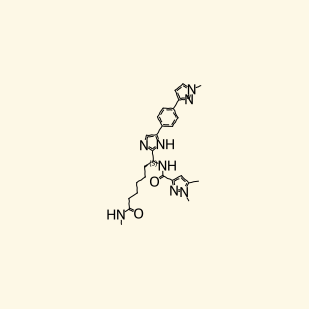 CNC(=O)CCCCC[C@H](NC(=O)c1cc(C)n(C)n1)c1ncc(-c2ccc(-c3ccn(C)n3)cc2)[nH]1